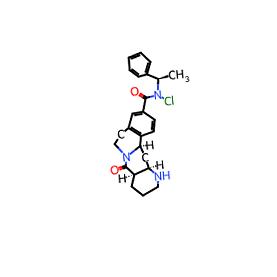 C[C@H](c1ccccc1)N(Cl)C(=O)c1ccc2c(c1)CCN1C(=O)[C@@H]3CCCN[C@@H]3C[C@H]21